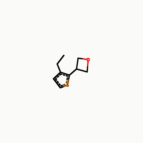 CCc1ccsc1C1COC1